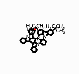 CC(C)(C)c1ccc2c(c1)c1cc(C(C)(C)C)cc3c1n2-c1cccc2c1B3c1c3c4ccccc4n4c5ccccc5c(c5c6ccccc6n-2c15)c34